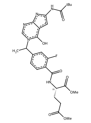 COC(=O)CC[C@H](NC(=O)c1ccc(C(C)n2cnc3nc(NC(=O)C(C)(C)C)cc-3c2O)cc1F)C(=O)OC